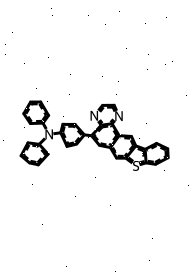 c1ccc(N(c2ccccc2)c2ccc(-c3cc4cc5sc6ccccc6c5cc4c4nccnc34)cc2)cc1